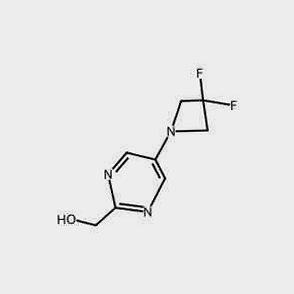 OCc1ncc(N2CC(F)(F)C2)cn1